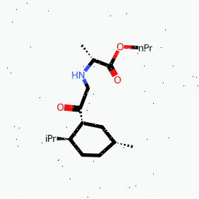 CCCOC(=O)[C@@H](C)NCC(=O)[C@@H]1C[C@H](C)CC[C@H]1C(C)C